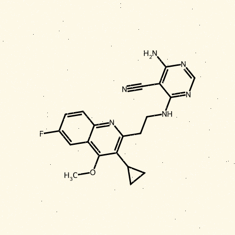 COc1c(C2CC2)c(CCNc2ncnc(N)c2C#N)nc2ccc(F)cc12